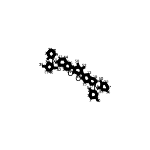 Cc1ccc(C)c(N(c2ccc3cc4c(cc3c2)oc2c3oc5cc6cc(N(c7ccccc7C)c7cc(C)ccc7C)ccc6cc5c3c(C)c(C)c42)c2ccccc2C)c1